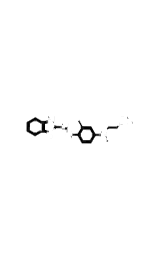 Cc1cc(N(C)CCC#N)ccc1N=Nc1nc2ccccc2s1